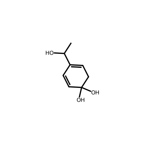 CC(O)C1=CCC(O)(O)C=C1